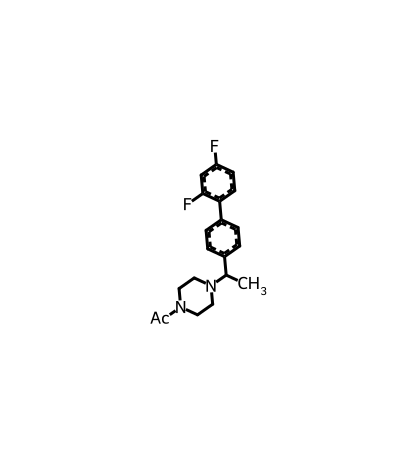 CC(=O)N1CCN(C(C)c2ccc(-c3ccc(F)cc3F)cc2)CC1